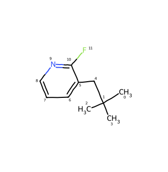 CC(C)(C)Cc1cccnc1F